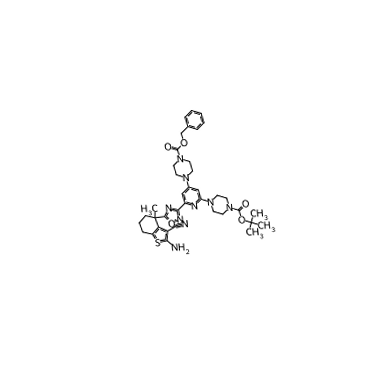 CC(C)(C)OC(=O)N1CCN(c2cc(N3CCN(C(=O)OCc4ccccc4)CC3)cc(-c3noc(C4(C)CCCc5sc(N)c(C#N)c54)n3)n2)CC1